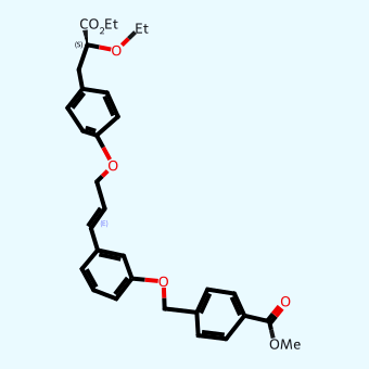 CCOC(=O)[C@H](Cc1ccc(OC/C=C/c2cccc(OCc3ccc(C(=O)OC)cc3)c2)cc1)OCC